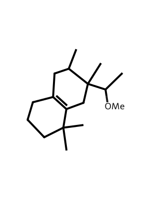 COC(C)C1(C)CC2=C(CCCC2(C)C)CC1C